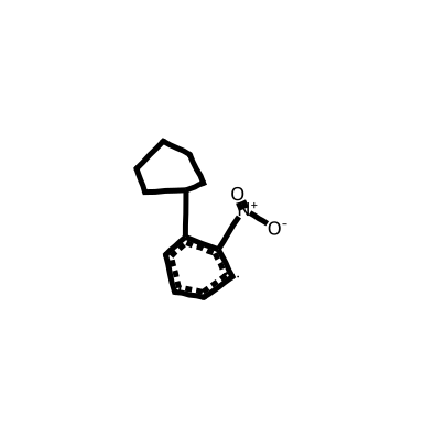 O=[N+]([O-])c1[c]cccc1C1CCCCC1